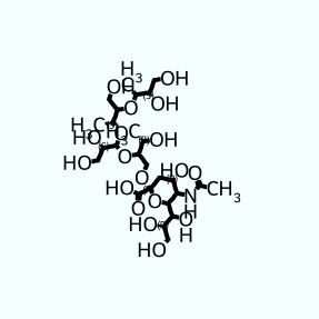 CC(=O)NC1C(C(O)[C@H](O)CO)O[C@@](OCC(OC(O[C@@H](C)C(CO)OC(C)[C@@H](O)CO)[C@@H](O)CO)[C@@H](C)O)(C(=O)O)C[C@H]1O